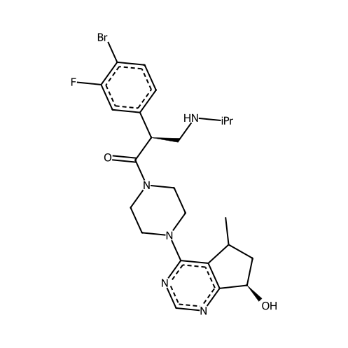 CC(C)NC[C@@H](C(=O)N1CCN(c2ncnc3c2C(C)C[C@H]3O)CC1)c1ccc(Br)c(F)c1